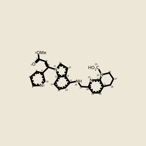 COC(=O)C=C(c1cccnc1)n1ccc2c(NCc3ccc4c(n3)N(C(=O)O)CCC4)cccc21